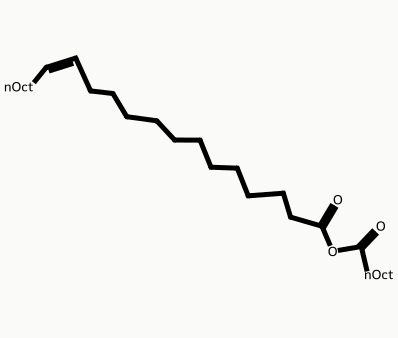 CCCCCCCC/C=C\CCCCCCCCCCCC(=O)OC(=O)CCCCCCCC